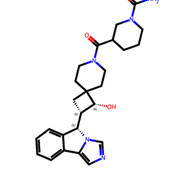 NC(=O)N1CCCC(C(=O)N2CCC3(CC2)C[C@@H]([C@H]2c4ccccc4-c4cncn42)[C@H]3O)C1